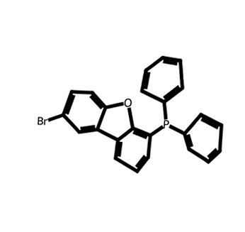 Brc1ccc2oc3c(P(c4ccccc4)c4ccccc4)cccc3c2c1